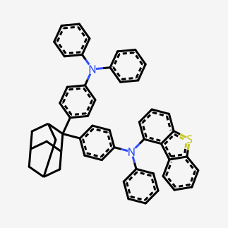 c1ccc(N(c2ccccc2)c2ccc(C3(c4ccc(N(c5ccccc5)c5cccc6sc7ccccc7c56)cc4)C4CC5CC(C4)CC3C5)cc2)cc1